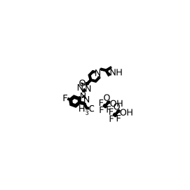 CCc1nn(-c2noc(C3CCN(CC4CNC4)CC3)n2)c2cc(F)ccc12.O=C(O)C(F)(F)F.O=C(O)C(F)(F)F